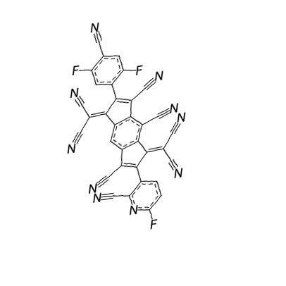 N#CC(C#N)=C1C(c2cc(F)c(C#N)cc2F)=C(C#N)c2c1cc1c(c2C#N)C(=C(C#N)C#N)C(c2ccc(F)nc2C#N)=C1C#N